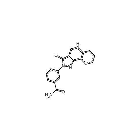 NC(=O)c1cccc(-n2nc3c4ccccc4[nH]cc-3c2=O)c1